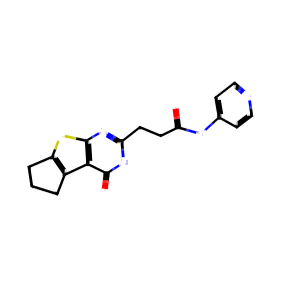 O=C(CCc1nc2sc3c(c2c(=O)[nH]1)CCC3)Nc1ccncc1